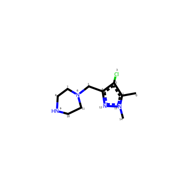 Cc1c(Cl)c(CN2CCNCC2)nn1C